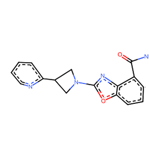 NC(=O)c1[c]ccc2oc(N3CC(c4ccccn4)C3)nc12